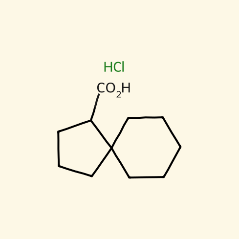 Cl.O=C(O)C1CCCC12CCCCC2